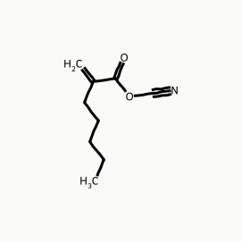 C=C(CCCCC)C(=O)OC#N